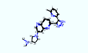 Cc1cccc(-c2[nH]nnc2-c2ccc3ncc(N4CC[C@H](N(C)C)C4)cc3n2)n1